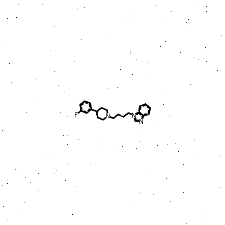 Fc1cccc(C2CCN(CCCCn3cnc4ccccc43)CC2)c1